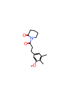 COc1cc(CCC(=O)N2CCCCC2=O)cc(C)c1C